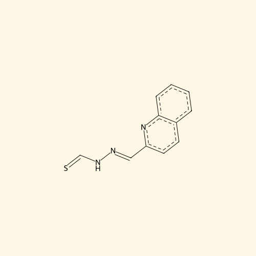 S=CNN=Cc1ccc2ccccc2n1